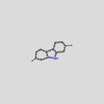 Ic1ccc2c(c1)[nH]c1cc(I)ccc12